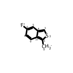 [CH2]c1scc2cc(F)ccc12